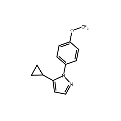 FC(F)(F)Oc1ccc(-n2nccc2C2CC2)cc1